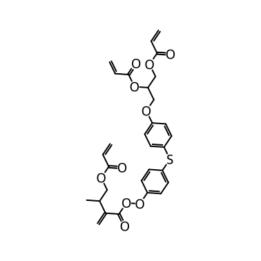 C=CC(=O)OCC(COc1ccc(Sc2ccc(OOC(=O)C(=C)C(C)COC(=O)C=C)cc2)cc1)OC(=O)C=C